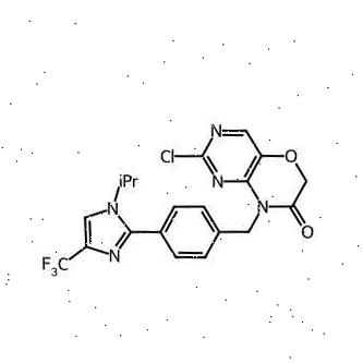 CC(C)n1cc(C(F)(F)F)nc1-c1ccc(CN2C(=O)COc3cnc(Cl)nc32)cc1